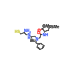 CCC(C)C(CN(CC(=O)NC(CCSC)C(=O)OC)Cc1ccccc1)NC[C@H](N)CS